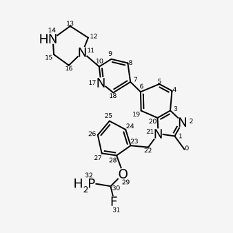 Cc1nc2ccc(-c3ccc(N4CCNCC4)nc3)cc2n1Cc1ccccc1OC(F)P